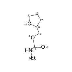 CCNC(=O)OCC1CCCO1